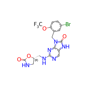 O=C1NC[C@@H](CNc2ncc3[nH]c(=O)n(Cc4cc(Br)ccc4OC(F)(F)F)c3n2)O1